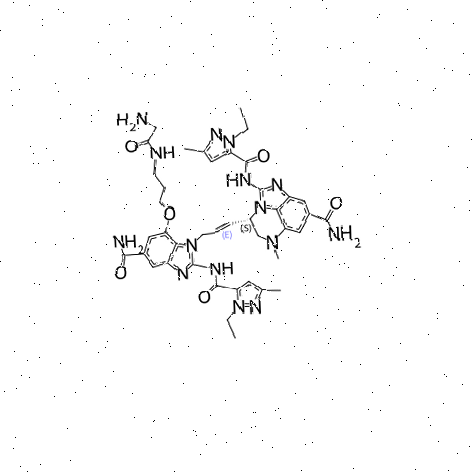 CCn1nc(C)cc1C(=O)Nc1nc2cc(C(N)=O)cc(OCCCNC(=O)CN)c2n1C/C=C/[C@H]1CN(C)c2cc(C(N)=O)cc3nc(NC(=O)c4cc(C)nn4CC)n1c23